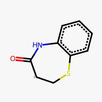 O=C1[C]CSc2ccccc2N1